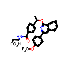 CC(Oc1nc(-c2ccc(OC(F)(F)F)cc2)cc2ccccc12)c1ccc(C(=O)NCCC(=O)O)cc1